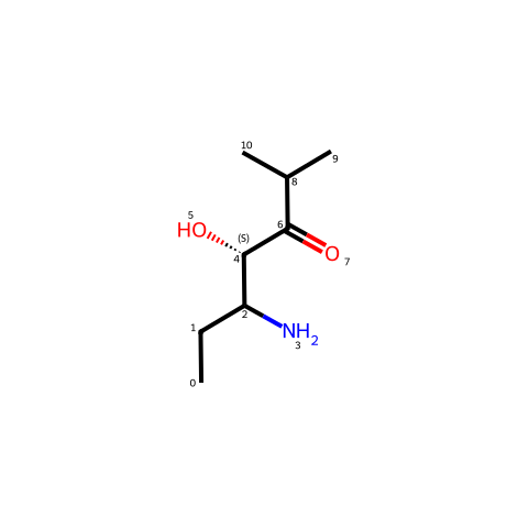 CCC(N)[C@H](O)C(=O)C(C)C